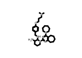 CN(C)CCCOc1ccc(CNC2C(N)CCCN2c2nc3c(c(N4CCCCCC4)n2)CCCCC3)cc1